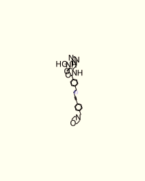 O=C(NC(Cn1cncn1)C(=O)NO)c1ccc(/C=C/C#Cc2ccc(CN3CCOCC3)cc2)cc1